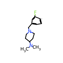 CN(C)C1CCN(Cc2cc[c]c(F)c2)CC1